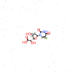 O=C(O)C(O)[C@H]1O[C@@H](n2cc(F)c(=O)[nH]c2=O)C[C@@H]1O